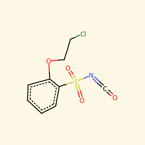 O=C=NS(=O)(=O)c1ccccc1OCCCl